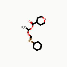 CC(OC=[SH]C1CCCCC1)OC(=O)C1CCOCC1